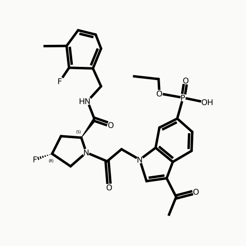 CCOP(=O)(O)c1ccc2c(C(C)=O)cn(CC(=O)N3C[C@H](F)C[C@H]3C(=O)NCc3cccc(C)c3F)c2c1